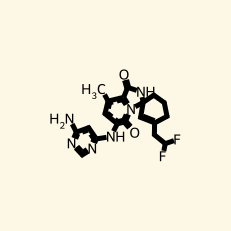 Cc1cc(Nc2cc(N)ncn2)c(=O)n2c1C(=O)NC21C=C(CC(F)F)CCC1